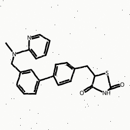 CN(Cc1cccc(-c2ccc(CC3SC(=O)NC3=O)cc2)c1)c1ccccn1